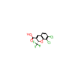 O=C(O)C1=Cc2ccc(Cl)c(Cl)c2O[C@@H]1C(F)(F)F